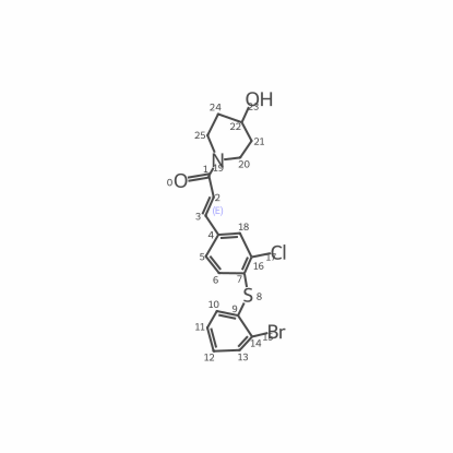 O=C(/C=C/c1ccc(Sc2ccccc2Br)c(Cl)c1)N1CCC(O)CC1